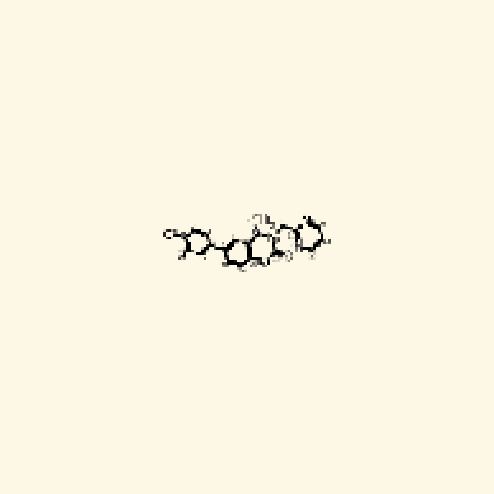 CC1c2cc(-c3ccc(Cl)c(F)c3)ccc2OC(=O)N1Cc1ncccn1